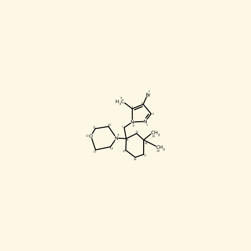 Cc1c(Br)cnn1CC1(N2CCOCC2)CCCC(C)(C)C1